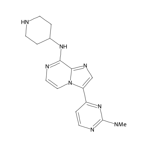 CNc1nccc(-c2cnc3c(NC4CCNCC4)nccn23)n1